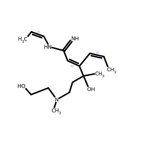 C/C=C\NC(=N)/C=C(\C=C/C)C(C)(O)CCN(C)CCO